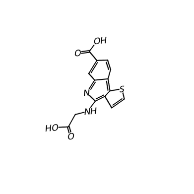 O=C(O)CNc1nc2cc(C(=O)O)ccc2c2sccc12